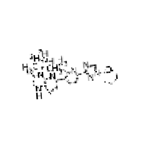 [2H]C([2H])([2H])C(C)(C)N1C(=O)CNc2ncc(-c3ccc(-c4ncn(C5CCCCO5)n4)nc3C)nc21